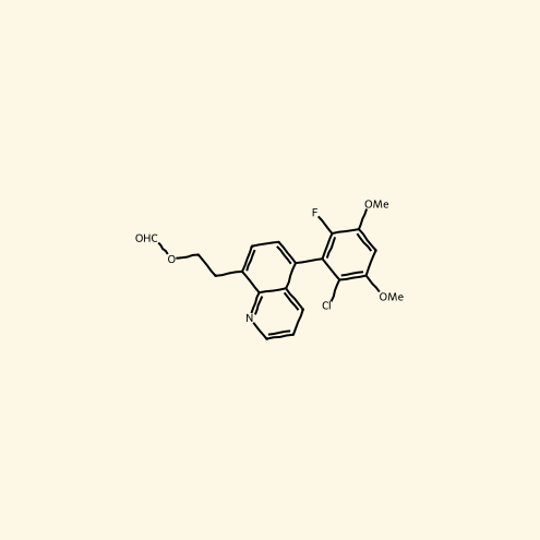 COc1cc(OC)c(Cl)c(-c2ccc(CCOC=O)c3ncccc23)c1F